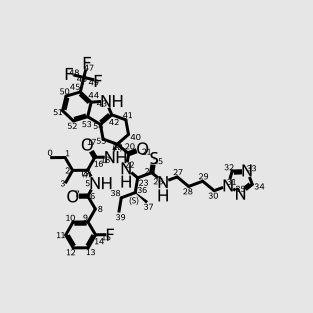 CCC(C)[C@H](NC(=O)Cc1ccccc1F)C(=O)N[C@]1(C(=O)NC(C(=S)NCCCCn2cncn2)[C@@H](C)CC)CCc2[nH]c3c(C(F)(F)F)cccc3c2C1